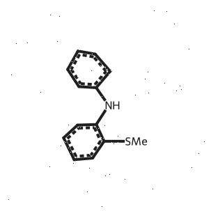 CSc1ccccc1Nc1ccccc1